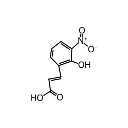 O=C(O)/C=C/c1cccc([N+](=O)[O-])c1O